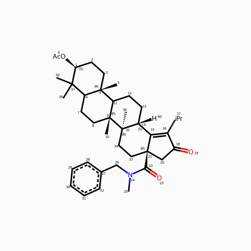 CC(=O)O[C@H]1CC[C@@]2(C)C(CC[C@]3(C)C2CC[C@@H]2C4=C(C(C)C)C(=O)C[C@]4(C(=O)N(C)Cc4ccccc4)CC[C@]23C)C1(C)C